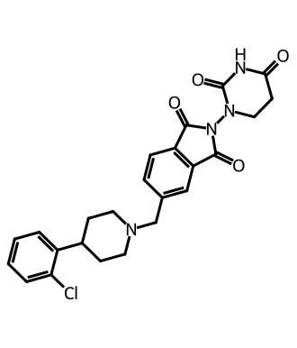 O=C1CCN(N2C(=O)c3ccc(CN4CCC(c5ccccc5Cl)CC4)cc3C2=O)C(=O)N1